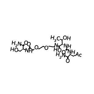 CC(=O)C[C@H](NC(=O)N[C@H](C(=O)NCCOCCOCC(=O)N[C@@H](CO)C(N)=O)C(C)O)C(N)=O